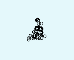 COC(=O)C(Cc1ccc(OC(=O)N2CCCC2)cc1)NC(=O)[C@@H]1C[C@H](OS(C)(=O)=O)CN1S(=O)(=O)c1ccccc1